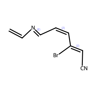 C=C/N=C/C=C\C(Br)=C\C#N